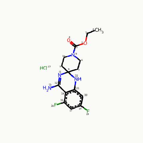 CCOC(=O)N1CCC2(CC1)N=C(N)c1c(F)cc(F)cc1N2.Cl